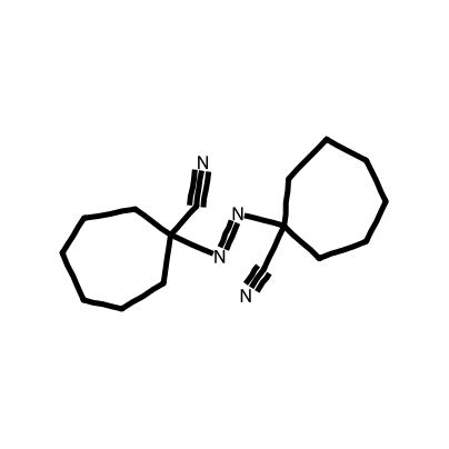 N#CC1(N=NC2(C#N)CCCCCC2)CCCCCC1